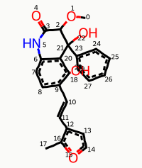 COC1C(=O)Nc2ccc(C=Cc3ccoc3C)c(O)c2C1(O)c1ccccc1